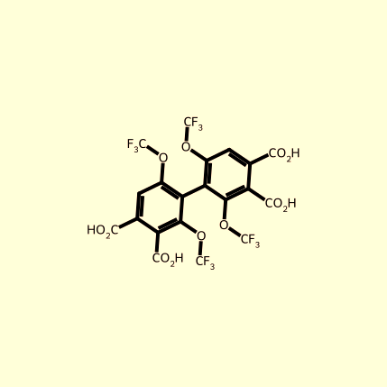 O=C(O)c1cc(OC(F)(F)F)c(-c2c(OC(F)(F)F)cc(C(=O)O)c(C(=O)O)c2OC(F)(F)F)c(OC(F)(F)F)c1C(=O)O